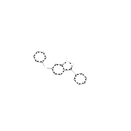 c1ccc(Oc2ccc3c(-c4ccccc4)n[nH]c3c2)cc1